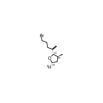 [3H][C@H]1C[C@H](C)[C@@H](C(=C)CCCBr)O1